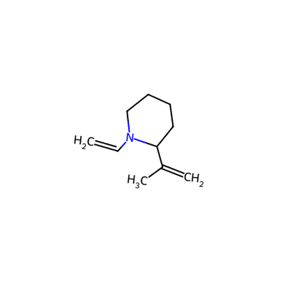 C=CN1CCCCC1C(=C)C